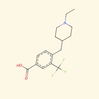 CCN1CCC(Cc2ccc(C(=O)O)cc2C(F)(F)F)CC1